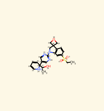 CCS(=O)(=O)c1ccc2c(c1)N(c1ncc(C3([C@H](C)O)C=CC=CN3)cn1)CC21COC1